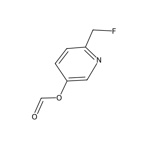 O=COc1ccc(CF)nc1